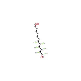 OCCCCCCC(F)C(F)C(F)C(F)C(F)C(O)F